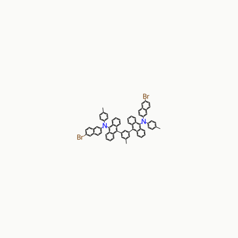 Cc1ccc(N(c2ccc3cc(Br)ccc3c2)c2c3ccccc3c(-c3cc(C)cc(-c4c5ccccc5c(N(c5ccc(C)cc5)c5ccc6cc(Br)ccc6c5)c5ccccc45)c3)c3ccccc23)cc1